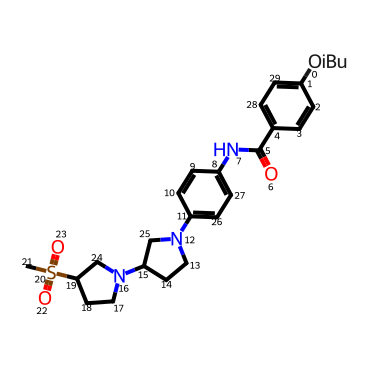 CC(C)COc1ccc(C(=O)Nc2ccc(N3CCC(N4CCC(S(C)(=O)=O)C4)C3)cc2)cc1